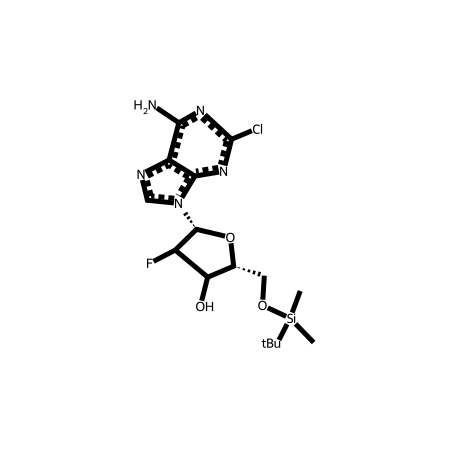 CC(C)(C)[Si](C)(C)OC[C@H]1O[C@@H](n2cnc3c(N)nc(Cl)nc32)C(F)C1O